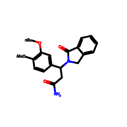 CCCCOc1cc(C(CC(N)=O)N2Cc3ccccc3C2=O)ccc1OC